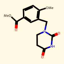 COC(=O)c1ccc(OC)c(CN2CCC(=O)NC2=O)c1